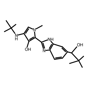 Cn1cc(NC(C)(C)C)c(O)c1-c1nc2ccc(C(O)C(C)(C)C)cc2[nH]1